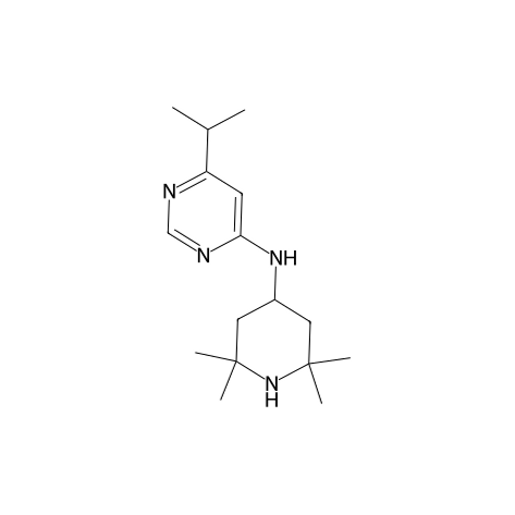 CC(C)c1cc(NC2CC(C)(C)NC(C)(C)C2)ncn1